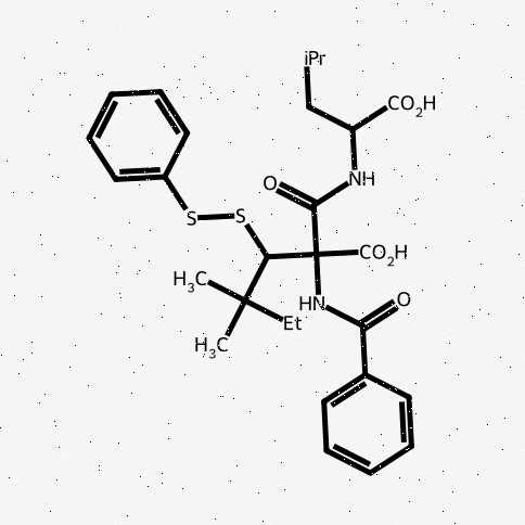 CCC(C)(C)C(SSc1ccccc1)C(NC(=O)c1ccccc1)(C(=O)O)C(=O)NC(CC(C)C)C(=O)O